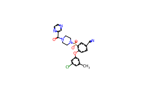 Cc1cc(Cl)cc(Oc2ccc(C#N)cc2S(=O)(=O)N2CCN(C(=O)c3cnccn3)CC2)c1